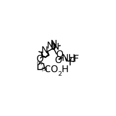 Cc1nc(-c2nnn(C)c2COC(=O)NCC(C)(C)CF)ccc1O[C@H]1CCC[C@H](C(=O)O)C1